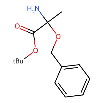 CC(C)(C)OC(=O)C(C)(N)OCc1ccccc1